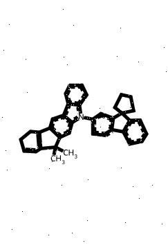 CC1(C)C2=C(CCC=C2)c2cc3c4ccccc4n(-c4ccc5c(c4)C4(CCCC4)c4ccccc4-5)c3cc21